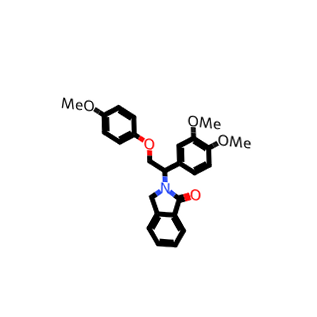 COc1ccc(OCC(c2ccc(OC)c(OC)c2)N2Cc3ccccc3C2=O)cc1